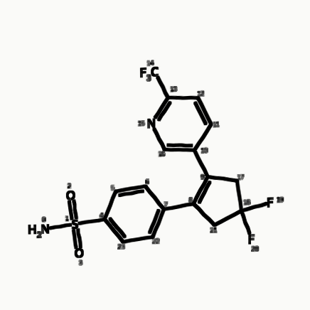 NS(=O)(=O)c1ccc(C2=C(c3ccc(C(F)(F)F)nc3)CC(F)(F)C2)cc1